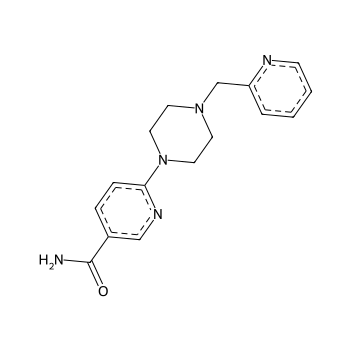 NC(=O)c1ccc(N2CCN(Cc3ccccn3)CC2)nc1